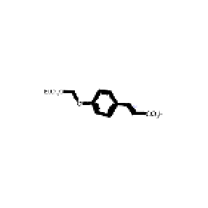 CCOC(=O)COc1ccc(/C=C/C(=O)O)cc1